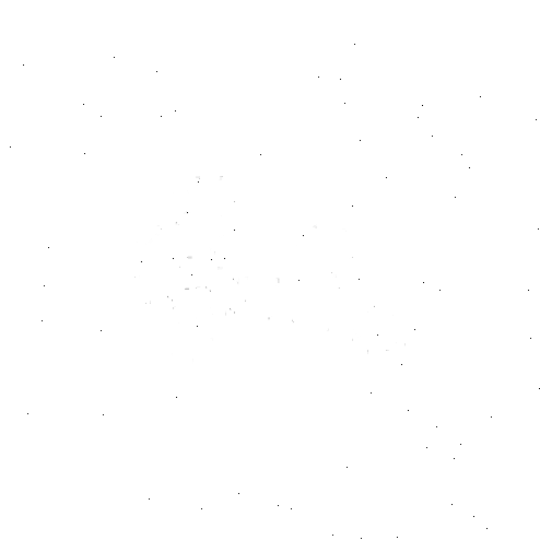 c1ccc(-c2nc(-c3ccc(-c4ccc5ccccc5c4)c(-c4ccccc4)c3)nc(-c3cc4ccccc4c4ccc5ccncc5c34)n2)cc1